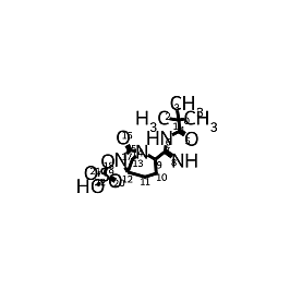 CC(C)(C)C(=O)NC(=N)C1CCC2CN1C(=O)N2OS(=O)(=O)O